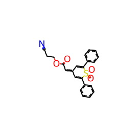 N#CCCOC(=O)C=C1C=C(c2ccccc2)S(=O)(=O)C(c2ccccc2)=C1